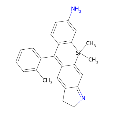 Cc1ccccc1C1=c2cc3c(cc2[Si](C)(C)c2cc(N)ccc21)=NCC3